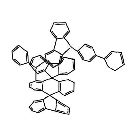 C1=CCCC(c2ccc(-n3c4ccccc4c4cc(N(c5ccccc5)c5cccc6c5C5(C7=C(C=CCC7)C67c6ccccc6-c6ccccc67)c6ccccc6-c6ccccc65)ccc43)cc2)=C1